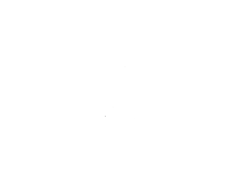 O=C(O)c1sccc1-c1ccc(Cl)cc1